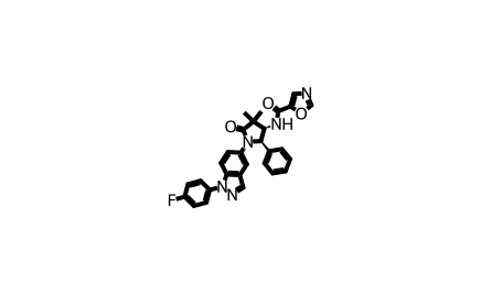 CC1(C)C(=O)N(c2ccc3c(cnn3-c3ccc(F)cc3)c2)[C@H](c2ccccc2)[C@H]1NC(=O)c1cnco1